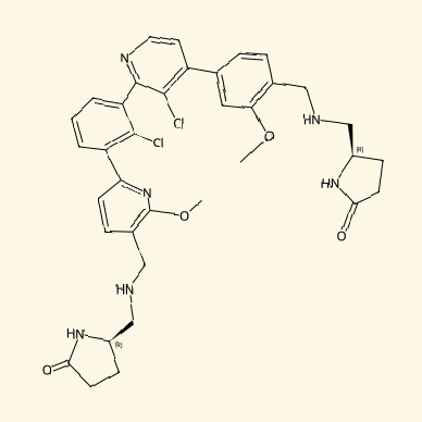 COc1cc(-c2ccnc(-c3cccc(-c4ccc(CNC[C@H]5CCC(=O)N5)c(OC)n4)c3Cl)c2Cl)ccc1CNC[C@H]1CCC(=O)N1